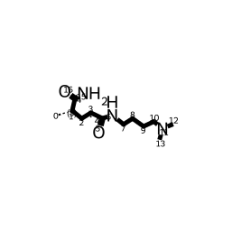 C[C@@H](C[CH]C(=O)NCCCCN(C)C)C(N)=O